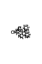 O[C@H](c1cccnc1-c1cc(Cl)cc(Cl)c1)[C@H](c1cccnc1)N1CCCCC1